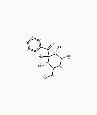 O=C(c1ccccc1)[C@]1(O)[C@H](O)[C@H](O)O[C@@H](CO)[C@@H]1O